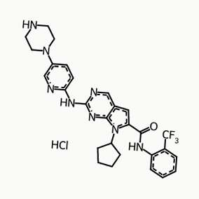 Cl.O=C(Nc1ccccc1C(F)(F)F)c1cc2cnc(Nc3ccc(N4CCNCC4)cn3)nc2n1C1CCCC1